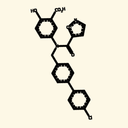 O=C(O)c1cc(N(Cc2ccc(-c3ccc(Cl)cc3)cc2)C(=O)c2ccno2)ccc1O